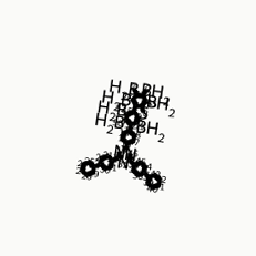 Bc1c(B)c(B)c2c(sc3c(B)c(-c4ccc(-c5nc(-c6ccc(-c7ccccc7)cc6)nc(-c6ccc(-c7ccccc7)cc6)n5)cc4)c(B)c(B)c32)c1B